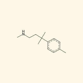 CNCCC(C)(C)c1ccc(C)cc1